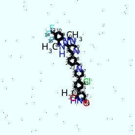 Cc1nc(N[C@H](C)c2cccc(C(F)F)c2F)c2cc(-c3cccc(CN4CCC(c5ccc([C@@]6(C)CCC(=O)NC6=O)cc5Cl)CC4)c3)ncc2n1